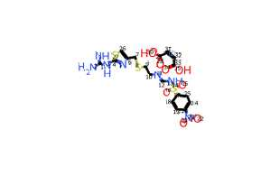 N=C(N)Nc1nc(CSCCN=CNS(=O)(=O)c2ccc([N+](=O)[O-])cc2)cs1.O=C(O)/C=C\C(=O)O